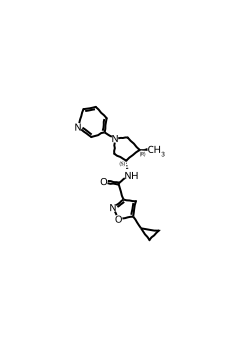 C[C@@H]1CN(c2cccnc2)C[C@H]1NC(=O)c1cc(C2CC2)on1